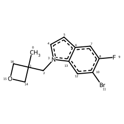 CC1(Cn2ccc3cc(F)c(Br)cc32)COC1